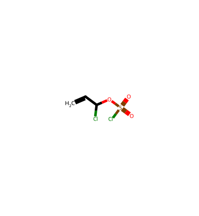 C=CC(Cl)OS(=O)(=O)Cl